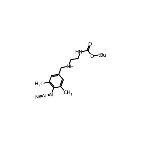 Cc1cc(CNCCNC(=O)OC(C)(C)C)cc(C)c1N=[N+]=[N-]